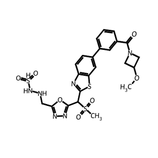 COC1CN(C(=O)c2cccc(-c3ccc4nc(C(c5nnc(CNN[SH](=O)=O)o5)S(C)(=O)=O)sc4c3)c2)C1